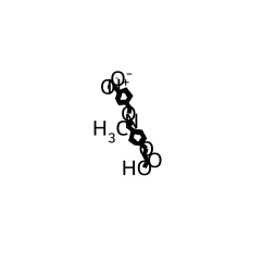 C/C(=N\OCc1ccc([N+](=O)[O-])cc1)c1ccc(OCC(=O)O)cc1